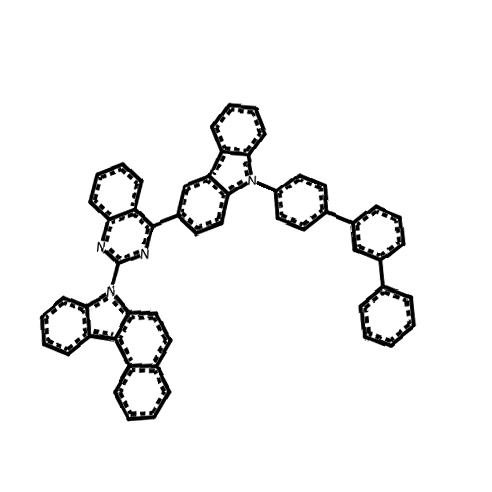 c1ccc(-c2cccc(-c3ccc(-n4c5ccccc5c5cc(-c6nc(-n7c8ccccc8c8c9ccccc9ccc87)nc7ccccc67)ccc54)cc3)c2)cc1